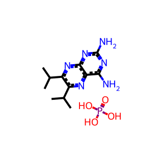 CC(C)c1nc2nc(N)nc(N)c2nc1C(C)C.O=P(O)(O)O